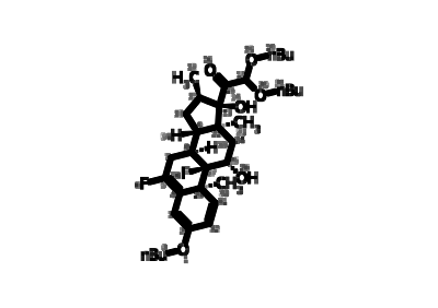 CCCCOC1=CC2=C(F)C[C@H]3[C@@H]4C[C@@H](C)[C@](O)(C(=O)C(OCCCC)OCCCC)[C@@]4(C)C[C@H](O)[C@]3(F)[C@@]2(C)C=C1